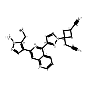 Cn1ncc(-c2cc3ncccc3c(-c3ccn(C4(CC#N)CC(C#N)C4)n3)n2)c1CO